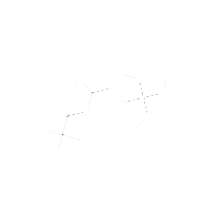 CO[Si](CCC(C)OC(=O)C(F)(F)F)(OC)OC